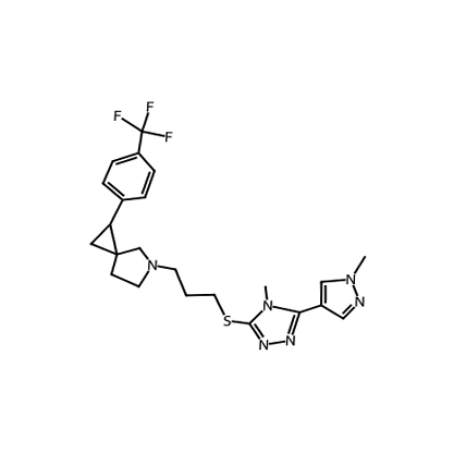 Cn1cc(-c2nnc(SCCCN3CCC4(CC4c4ccc(C(F)(F)F)cc4)C3)n2C)cn1